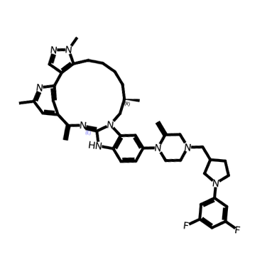 C=C1/N=C2\Nc3ccc(N4CCN(CC5CCN(c6cc(F)cc(F)c6)C5)CC4=C)cc3N2C[C@H](C)CCCCc2c(cnn2C)-c2cc1cc(C)n2